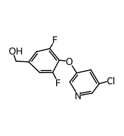 OCc1cc(F)c(Oc2cncc(Cl)c2)c(F)c1